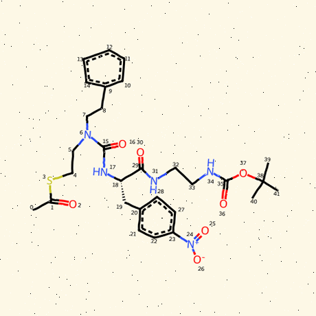 CC(=O)SCCN(CCc1ccccc1)C(=O)N[C@@H](Cc1ccc([N+](=O)[O-])cc1)C(=O)NCCNC(=O)OC(C)(C)C